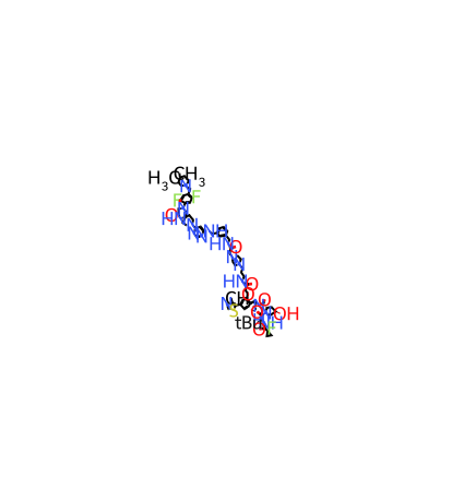 Cc1ncsc1-c1ccc(CNC(=O)[C@@H]2C[C@@H](O)CN2C(=O)[C@@H](NC(=O)C2(F)CC2)C(C)(C)C)c(OCC(=O)NCCCN2CCN(CC(=O)NCc3cccc(CNc4cc(N5CCC6(CC5)CN(c5cc(F)c(CN7CCC(C)(C)CC7)cc5F)CC(=O)N6)ncn4)c3)CC2)c1